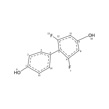 Oc1ccc(-c2c(F)cc(O)cc2F)cc1